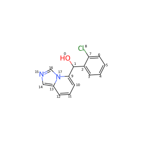 OC(c1ccccc1Cl)c1cccc2cncn12